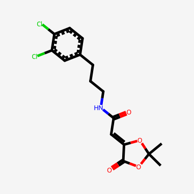 CC1(C)OC(=O)/C(=C/C(=O)NCCCc2ccc(Cl)c(Cl)c2)O1